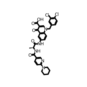 C[C@H](NC(=O)c1ccc(N2CCCCC2)nc1)C(=O)Nc1ccc2c(c1)c(=O)c(C(=O)O)cn2Cc1ccc(Cl)c(Cl)c1